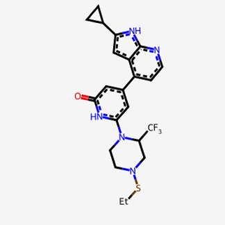 CCSN1CCN(c2cc(-c3ccnc4[nH]c(C5CC5)cc34)cc(=O)[nH]2)C(C(F)(F)F)C1